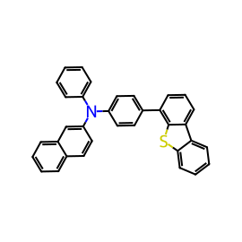 c1ccc(N(c2ccc(-c3cccc4c3sc3ccccc34)cc2)c2ccc3ccccc3c2)cc1